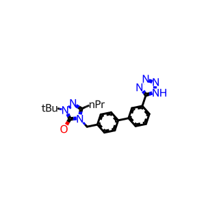 CCCc1nn(C(C)(C)C)c(=O)n1Cc1ccc(-c2cccc(-c3nnn[nH]3)c2)cc1